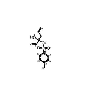 C=CCC(O)(C=C)OS(=O)(=O)c1ccc(C)cc1